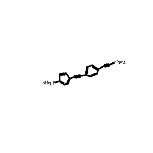 CCCCCC#Cc1ccc(C#Cc2ccc(CCCCCCC)cc2)cc1